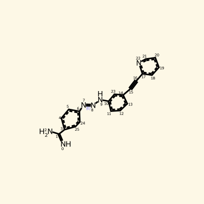 N=C(N)c1ccc(/N=N/Nc2cccc(C#Cc3ccccn3)c2)cc1